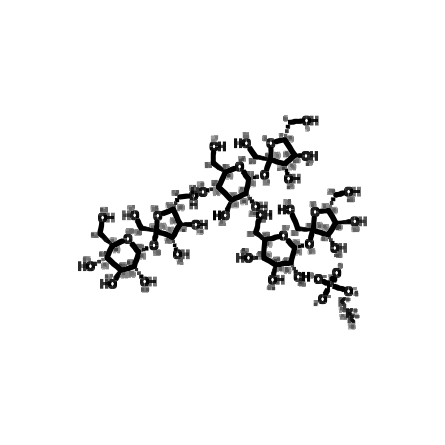 O=P([O-])([O-])[O-].OC[C@H]1O[C@@](CO)(O[C@H]2O[C@H](CO)[C@@H](O)[C@H](O)[C@H]2O)[C@@H](O)[C@@H]1O.OC[C@H]1O[C@@](CO)(O[C@H]2O[C@H](CO)[C@@H](O)[C@H](O)[C@H]2O)[C@@H](O)[C@@H]1O.OC[C@H]1O[C@@](CO)(O[C@H]2O[C@H](CO)[C@@H](O)[C@H](O)[C@H]2O)[C@@H](O)[C@@H]1O.[K+].[K+].[K+]